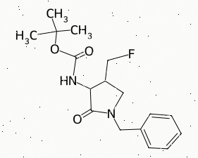 CC(C)(C)OC(=O)NC1C(=O)N(Cc2ccccc2)CC1CF